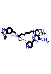 C=CN(CCCCCC(=C)NCc1ccc2ncn(C(C)C)c2c1)c1nc(-c2ccncc2)nc(N)c1C